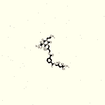 C=CCn1c(=O)n(CC(O)COC(=O)c2cccc(C(=O)OCC(O)CC(C)(CC)CC)c2)c(=O)n(C(C)(C)CC)c1=O